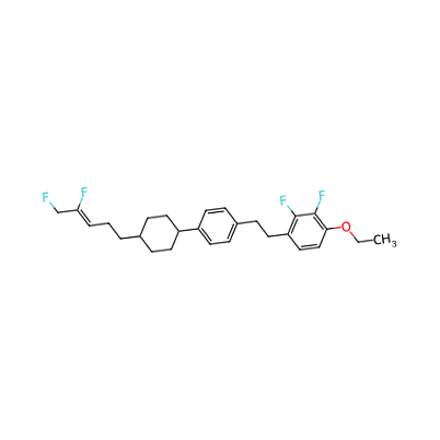 CCOc1ccc(CCc2ccc(C3CCC(CCC=C(F)CF)CC3)cc2)c(F)c1F